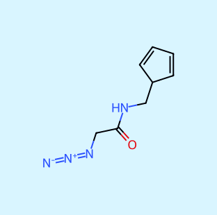 [N-]=[N+]=NCC(=O)NCC1C=CC=C1